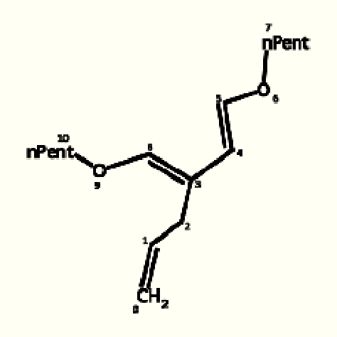 C=CCC(C=COCCCCC)=COCCCCC